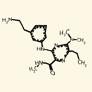 CCc1nc(C(=O)NC)c(Nc2cccc(CCN)c2)nc1N(C)C